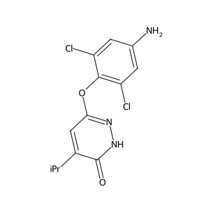 CC(C)c1cc(Oc2c(Cl)cc(N)cc2Cl)n[nH]c1=O